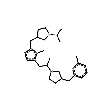 Cc1cccc(CC2CCN(C(C)Cc3cnc(CC4CCN(C(C)C)C4)n3C)C2)n1